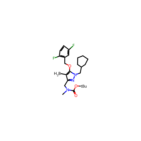 Bc1c(CN(C)C(=O)OC(C)(C)C)nn(CC2CCCCC2)c1OCc1cc(F)ccc1F